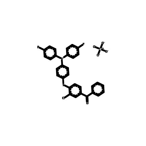 O=C(c1ccccc1)c1ccc(Sc2ccc([S+](c3ccc(F)cc3)c3ccc(F)cc3)cc2)c(Cl)c1.[O-][Cl+3]([O-])([O-])[O-]